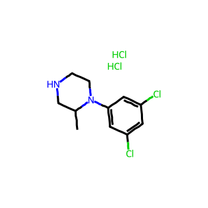 CC1CNCCN1c1cc(Cl)cc(Cl)c1.Cl.Cl